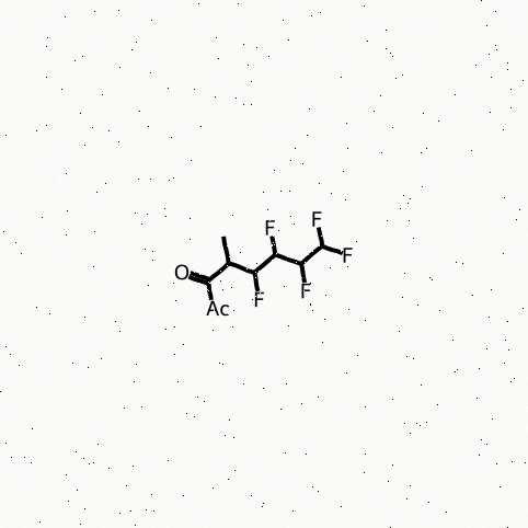 CC(=O)C(=O)C(C)C(F)C(F)C(F)C(F)F